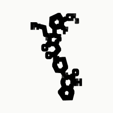 CC(C)CCN1C(=O)C(CC(=O)N2CCC(N3Cc4ccccc4NC3=O)CC2)SC1c1cccc(C(F)(F)F)c1F